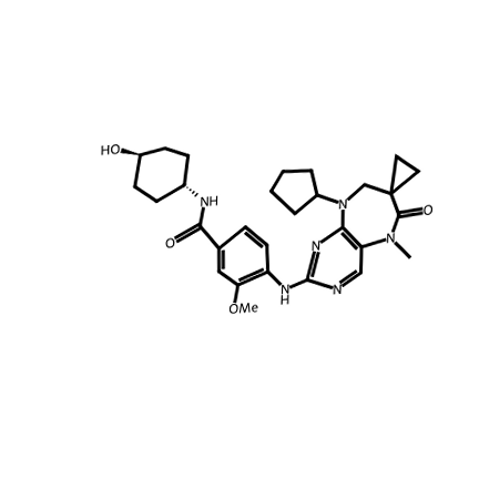 COc1cc(C(=O)N[C@H]2CC[C@H](O)CC2)ccc1Nc1ncc2c(n1)N(C1CCCC1)CC1(CC1)C(=O)N2C